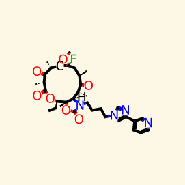 CC[C@H]1OC(=O)[C@H](C)C(=O)[C@H](C)C[C@](F)(OC)C[C@@H](C)C(=O)[C@H](C)[C@H]2N(CCCCn3cnc(-c4cccnc4)c3)C(=O)O[C@]12C